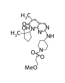 COCCS(=O)(=O)N1CCC(Nc2ncc3cc(C)c(=O)n(C4CCCC4(C)O)c3n2)CC1